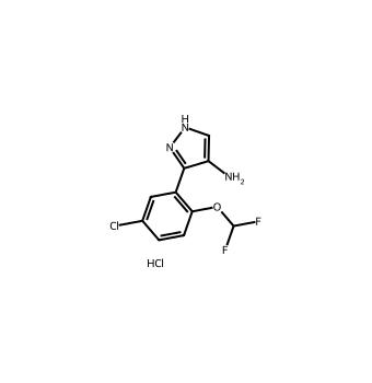 Cl.Nc1c[nH]nc1-c1cc(Cl)ccc1OC(F)F